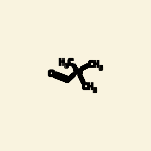 [CH3][Sn]([CH3])([CH3])[CH]=O